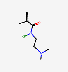 C=C(C)C(=O)N(Cl)CCN(C)C